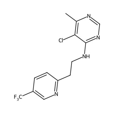 Cc1ncnc(NCCc2ccc(C(F)(F)F)cn2)c1Cl